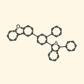 c1ccc(-c2cc(-c3ccc4oc5ccccc5c4c3)ccc2-c2sc(-c3ccccc3)c3ccccc23)cc1